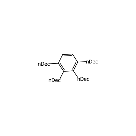 CCCCCCCCCCc1ccc(CCCCCCCCCC)c(CCCCCCCCCC)c1CCCCCCCCCC